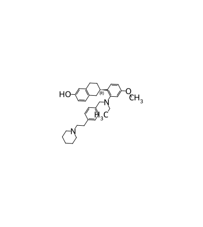 CCN(Cc1ccc(CCN2CCCCC2)cc1)c1cc(OC)ccc1[C@@H]1CCc2cc(O)ccc2C1